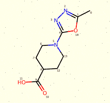 Cc1nnc(N2CCC(C(=O)O)CC2)o1